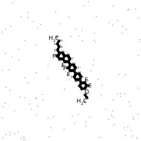 C=CCOc1ccc(-c2ccc(-c3ccc(-c4ccc5cc(CCCCC)c(F)cc5c4F)c(F)c3F)cc2)c(F)c1F